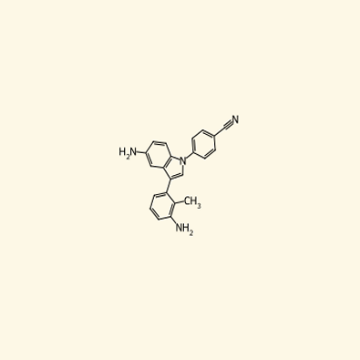 Cc1c(N)cccc1-c1cn(-c2ccc(C#N)cc2)c2ccc(N)cc12